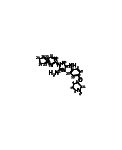 CN1CCCC(Oc2ccc(Nc3nc(N)n(-c4ncc5c(n4)C4CCC5C4)n3)cc2)C1